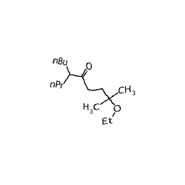 CCCCC(CCC)C(=O)CCC(C)(C)OCC